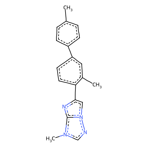 Cc1ccc(-c2ccc(-c3cn4ncn(C)c4n3)c(C)c2)cc1